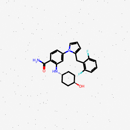 NC(=O)c1ccc(-n2cccc2Cc2c(F)cccc2F)cc1N[C@H]1CC[C@H](O)CC1